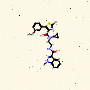 COc1cccc(-c2sc(Br)nc2C(=O)N(CCNC(=O)c2nn(C)c3ccccc23)C2CC2)c1